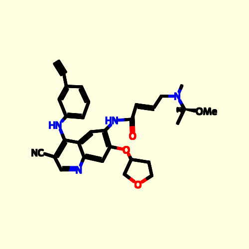 C#Cc1cccc(Nc2c(C#N)cnc3cc(OC4CCOC4)c(NC(=O)C=CCN(C)[C@H](C)OC)cc23)c1